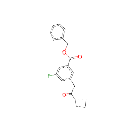 O=C(OCc1ccccc1)c1cc(F)cc(CC(=O)C2CCC2)c1